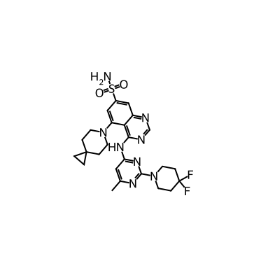 Cc1cc(Nc2ncnc3cc(S(N)(=O)=O)cc(N4CCC5(CC4)CC5)c23)nc(N2CCC(F)(F)CC2)n1